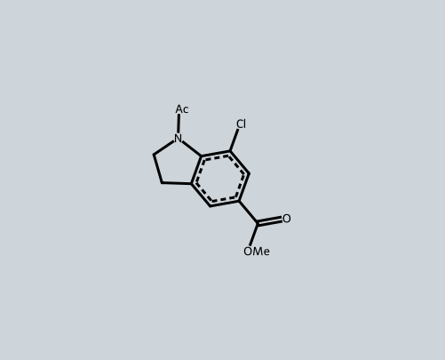 COC(=O)c1cc(Cl)c2c(c1)CCN2C(C)=O